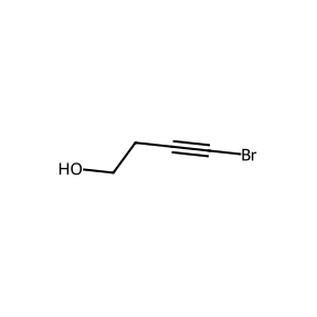 OCCC#CBr